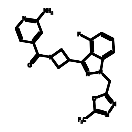 Nc1cc(C(=O)N2CC(c3nn(Cc4nnc(C(F)(F)F)o4)c4cccc(F)c34)C2)ccn1